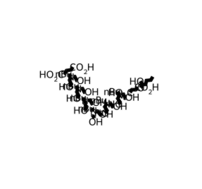 CCCCC(=O)O.CCCCN(CCO)CCO.CCCCN(CCO)CCO.CCCCN(CCO)CCO.CCCCN(CCO)CCO.CCCCN(CCO)CCO.CCCCN(CCO)CCO.O=C(O)CCC(=O)O.O=C(O)CCCC(=O)O